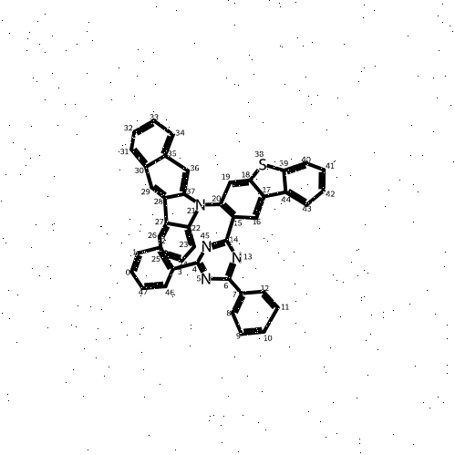 c1ccc(-c2nc(-c3ccccc3)nc(-c3cc4c(cc3-n3c5ccccc5c5cc6ccccc6cc53)sc3ccccc34)n2)cc1